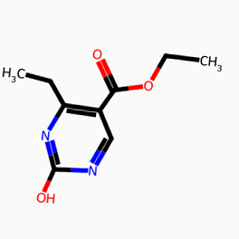 CCOC(=O)c1cnc(O)nc1CC